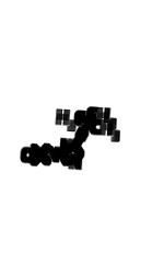 C[Si](C)(C)C#Cc1cncc(N2CC3(COC3)C2)n1